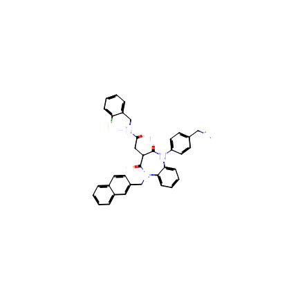 Cl.NCc1ccc(N2C(=O)C(CC(=O)NCc3ccccc3F)C(=O)N(Cc3ccc4ccccc4c3)c3ccccc32)cc1